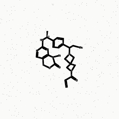 C=CC(=O)N1CC2(C1)CN(C(CC(C)(C)C)c1ccc([C@H](C)Nc3ncc4c(n3)N(CC)C(=O)OC4)cc1)C2